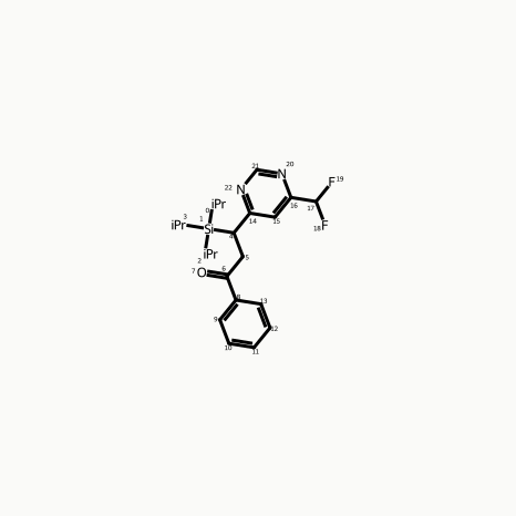 CC(C)[Si](C(C)C)(C(C)C)C(CC(=O)c1ccccc1)c1cc(C(F)F)ncn1